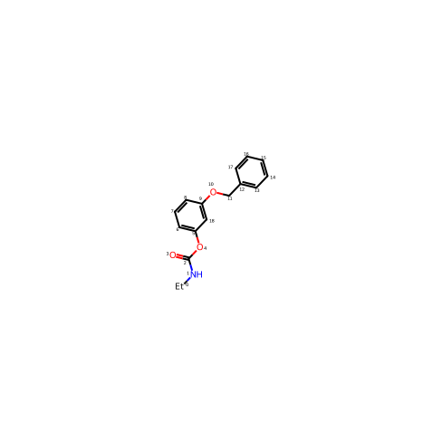 CCNC(=O)Oc1cccc(OCc2ccccc2)c1